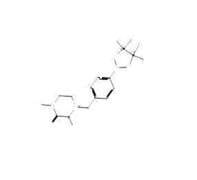 CC1C(=O)N(C)CCN1Cc1ccc(B2OC(C)(C)C(C)(C)O2)cc1